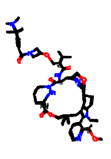 CCn1c(-c2cccnc2[C@H](C)OC)c2c3cc(ccc31)-c1nc(co1)C[C@H](NC(=O)[C@@H](COC1CN(C(=O)C#CC(C)(C)N(C)C)C1)C(C)C)C(=O)N1CCC[C@H](N1)C(=O)OCC(C)(C)C2